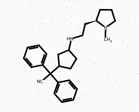 CN1CCC[C@@H]1CCNC1CCC(C(C#N)(c2ccccc2)c2ccccc2)C1